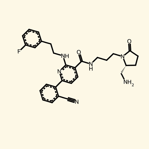 N#Cc1ccccc1-c1ccc(C(=O)NCCCN2C(=O)CC[C@@H]2CN)c(NCCc2cccc(F)c2)n1